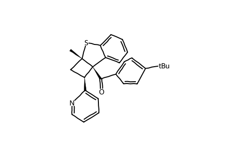 CC(C)(C)c1ccc(C(=O)[C@]23c4ccccc4S[C@@]2(C)C[C@@H]3c2ccccn2)cc1